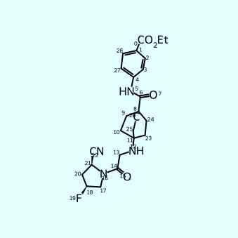 CCOC(=O)c1ccc(NC(=O)C23CCC(NCC(=O)N4C[C@@H](F)C[C@H]4C#N)(CC2)CC3)cc1